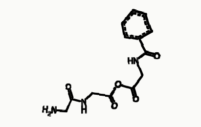 NCC(=O)NCC(=O)OC(=O)CNC(=O)c1ccccc1